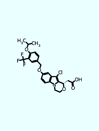 CC(C)Oc1ccc(COc2ccc3c(c2)c(Cl)c2n3CCO[C@H]2CC(=O)O)cc1C(F)(F)F